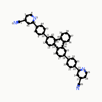 N#Cc1ccnc(-c2ccc(-c3ccc4c5ccc(-c6ccc(-c7cc(C#N)ccn7)cc6)cc5c5ccccc5c4c3)cc2)c1